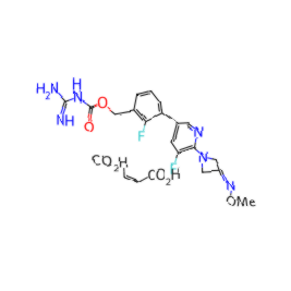 CON=C1CN(c2ncc(-c3cccc(COC(=O)NC(=N)N)c3F)cc2F)C1.O=C(O)/C=C\C(=O)O